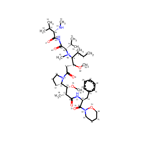 CC[C@H](C)[C@@H]([C@@H](CC(=O)N1CCC[C@H]1[C@H](OC)[C@@H](C)C(=O)N[C@@H](Cc1ccccc1)C(=O)N1CCCCO1)OC)N(C)[C@H](C(=O)NC(=O)[C@@H](NC)C(C)C)C(C)C